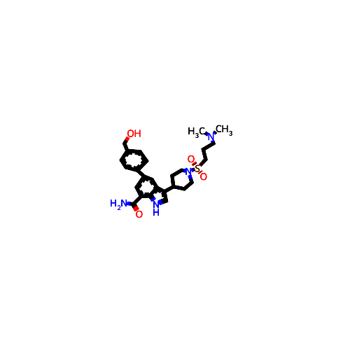 CN(C)CCCS(=O)(=O)N1CCC(c2c[nH]c3c(C(N)=O)cc(-c4ccc(CO)cc4)cc23)CC1